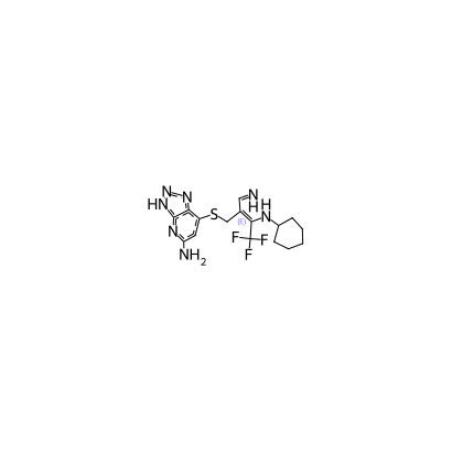 N=C/C(CSc1cc(N)nc2[nH]nnc12)=C(\NC1CCCCC1)C(F)(F)F